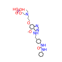 CCN(CCCOc1cc(OC)c2c(NCCc3ccc(NC(=O)Nc4ccccc4)cc3)ncnc2c1)CCOP(=O)(O)O